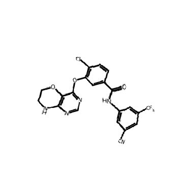 N#Cc1cc(NC(=O)c2ccc(Cl)c(Oc3ncnc4c3OCCN4)c2)cc(C(F)(F)F)c1